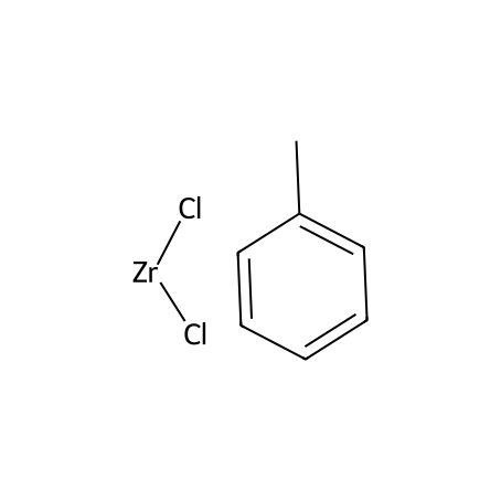 Cc1ccccc1.[Cl][Zr][Cl]